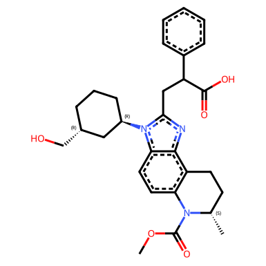 COC(=O)N1c2ccc3c(nc(CC(C(=O)O)c4ccccc4)n3[C@@H]3CCC[C@@H](CO)C3)c2CC[C@@H]1C